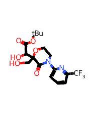 CC(C)(C)OC(=O)C(O)C1(CO)OCCN(c2cccc(C(F)(F)F)n2)C1=O